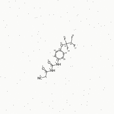 N#CCC(=O)NC(=O)Nc1ccc(OC(F)(F)C(F)F)cc1